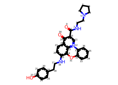 O=C(NCCN1CCCC1)c1cn2c3c(c(NCCc4ccc(O)cc4)ccc3c1=O)Oc1ccccc1-2